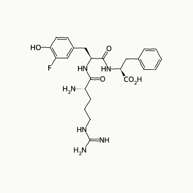 N=C(N)NCCC[C@H](N)C(=O)N[C@@H](Cc1ccc(O)c(F)c1)C(=O)N[C@@H](Cc1ccccc1)C(=O)O